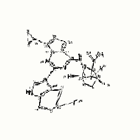 O=C(O)[C@@H]1C(Nc2nc(-c3c[nH]c4ncc(F)cc34)nn3c(C4CC4)ccc23)[C@H]2CC[C@@H]1CC2